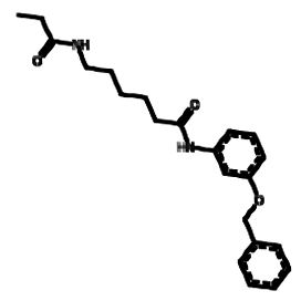 CCC(=O)NCCCCCC(=O)Nc1cccc(OCc2ccccc2)c1